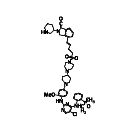 COc1cc(N2CCC(N3CCN(S(=O)(=O)CC/C=C/c4cccc5c4CN(C4CCCNC4)C5=C=O)CC3)CC2)ccc1Nc1ncc(Cl)c(Nc2ccccc2P(C)(C)=O)n1